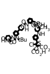 CC1(C)C[C@@H](Nc2cccc(-c3sc(C(=O)O)c(OCC(=O)O)c3Cl)c2)CCN1S(=O)(=O)Cc1cccc(NC(=O)N2CCC(c3ccc4c(c3)n(C(C)(C)C)c(=O)n4C3CCC(=O)NC3=O)CC2)c1